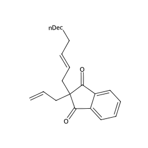 C=CCC1(C/C=C/CCCCCCCCCCC)C(=O)c2ccccc2C1=O